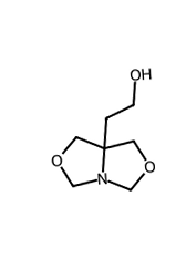 OCCC12COCN1COC2